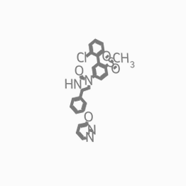 CS(=O)(=O)c1ccc(N2CC(c3cccc(Oc4cccnn4)c3)NC2=O)cc1-c1ccccc1Cl